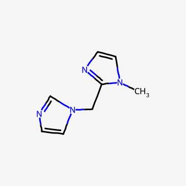 Cn1ccnc1Cn1ccnc1